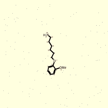 COc1ccccc1OCCCCCCN